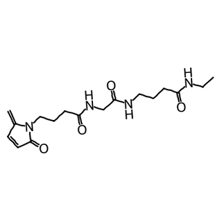 C=C1C=CC(=O)N1CCCC(=O)NCC(=O)NCCCC(=O)NCC